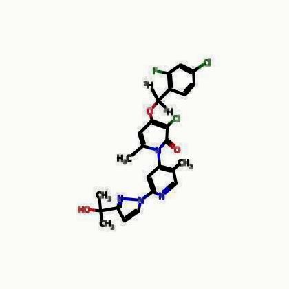 [2H]C([2H])(Oc1cc(C)n(-c2cc(-n3ccc(C(C)(C)O)n3)ncc2C)c(=O)c1Cl)c1ccc(Cl)cc1F